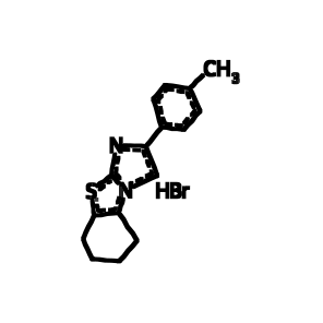 Br.Cc1ccc(-c2cn3c4c(sc3n2)CCCC4)cc1